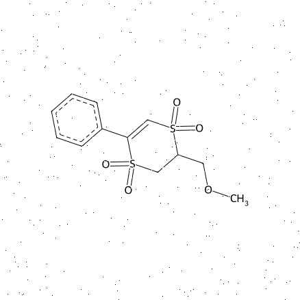 COCC1CS(=O)(=O)C(c2ccccc2)=CS1(=O)=O